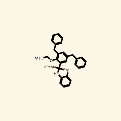 CCCCCC(CC)(Pc1ccccc1F)c1cc(Cc2ccccc2)cc(Cc2ccccc2)c1OCOC